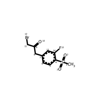 CS(=O)(=O)c1ccc(CC(=O)CBr)cc1F